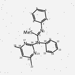 CSC(=Nc1ccccc1)N(c1ccccc1)c1nc(C)cc(C)n1